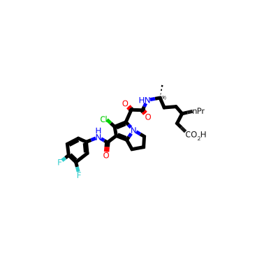 CCCC(CC[C@@H](C)NC(=O)C(=O)c1c(Cl)c(C(=O)Nc2ccc(F)c(F)c2)c2n1CCC2)CC(=O)O